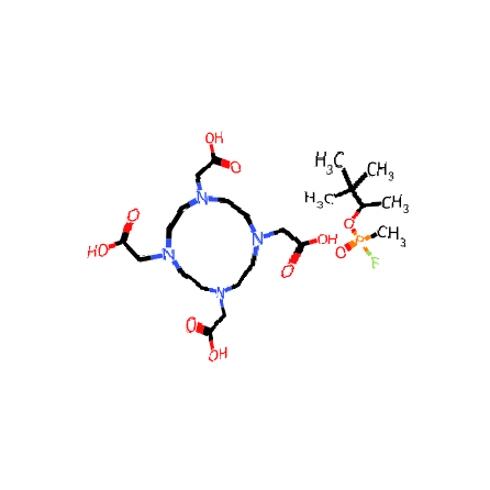 CC(OP(C)(=O)F)C(C)(C)C.O=C(O)CN1CCN(CC(=O)O)CCN(CC(=O)O)CCN(CC(=O)O)CC1